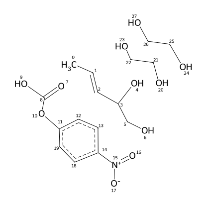 CC=CC(O)CO.O=C(O)Oc1ccc([N+](=O)[O-])cc1.OCCO.OCCO